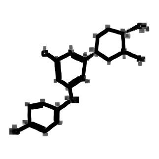 CC(=O)N1C[C@H](c2nc(Cl)cc(Nc3ccc(O)cc3)n2)CC[C@@H]1C